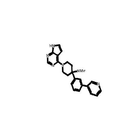 CNC1(c2cccc(-c3cccnc3)c2)CCN(c2ncnc3[nH]ccc23)CC1